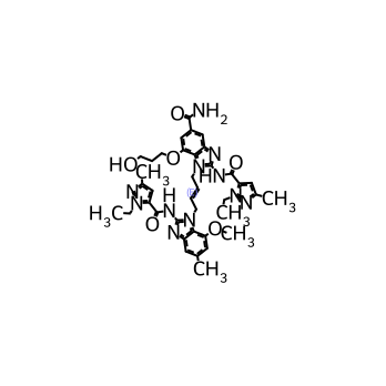 CCn1nc(C)cc1C(=O)Nc1nc2cc(C)cc(OC)c2n1C/C=C/Cn1c(NC(=O)c2cc(C)nn2CC)nc2cc(C(N)=O)cc(OCCCO)c21